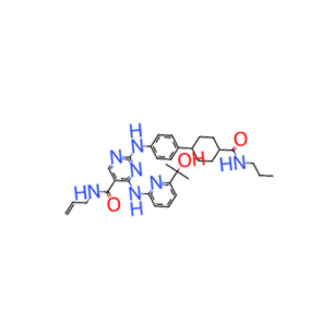 C=CCNC(=O)c1cnc(Nc2ccc(C3CCC(C(=O)NCCC)CC3)cc2)nc1Nc1cccc(C(C)(C)O)n1